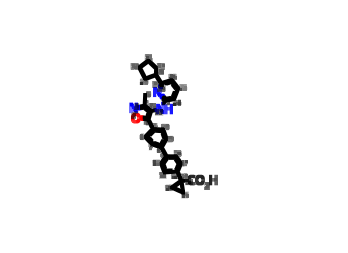 Cc1noc(-c2ccc(-c3ccc(C4(C(=O)O)CC4)cc3)cc2)c1Nc1cccc(C2CCCC2)n1